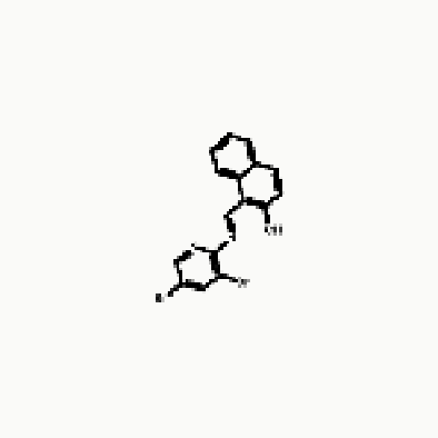 Oc1ccc2ccccc2c1/C=N/c1ncc(Br)cc1Br